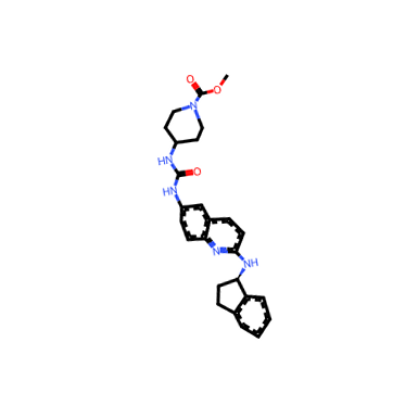 COC(=O)N1CCC(NC(=O)Nc2ccc3nc(N[C@@H]4CCc5ccccc54)ccc3c2)CC1